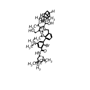 COc1c(CN2O[C@@H](CO)[C@@H]([C@H](C)O)[C@H]2C(O)N[C@H]2C[C@H]3C[C@@H]([C@@H]2C)C3(C)C)cccc1-c1cc(N(C)C)cc(C(=O)N[C@H](CN(C)C)CC(C)(C)C)c1Br